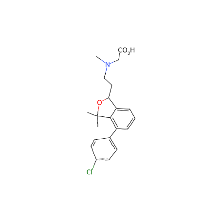 CN(CCC1OC(C)(C)c2c(-c3ccc(Cl)cc3)cccc21)CC(=O)O